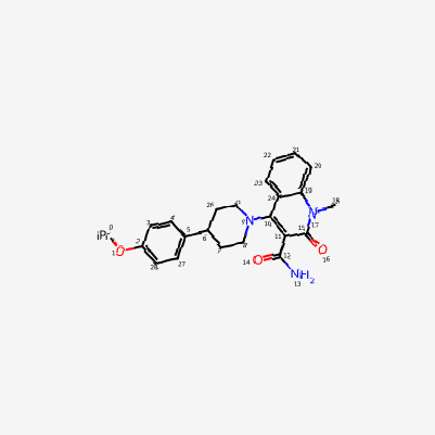 CC(C)Oc1ccc(C2CCN(c3c(C(N)=O)c(=O)n(C)c4ccccc34)CC2)cc1